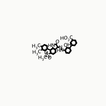 Cc1ccc(-c2c(S(C)(=O)=O)ccc3c2NC(=O)C3=NNc2cccc(-c3cccc(C(=O)O)c3)c2O)cc1C